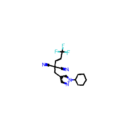 N#CC(C#N)(CCC(F)(F)F)Cc1cnn(C2CCCCC2)c1